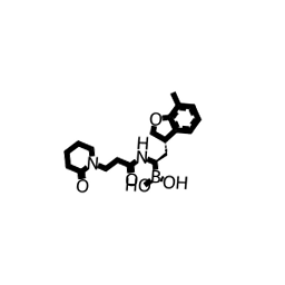 Cc1cccc2c1OC[C@H]2C[C@H](NC(=O)CCN1CCCCC1=O)B(O)O